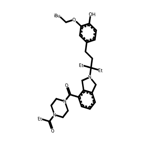 CCC(=O)N1CCN(C(=O)c2cccc3c2CN(C(CC)(CC)CCc2ccc(O)c(OCC(C)CC)c2)C3)CC1